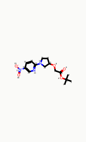 CC(C)(C)OC(=O)COC1CCN(c2ccc([N+](=O)[O-])cn2)C1